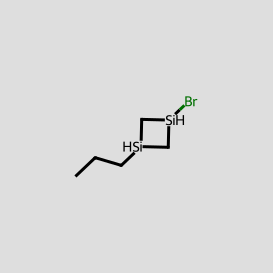 CCC[SiH]1C[SiH](Br)C1